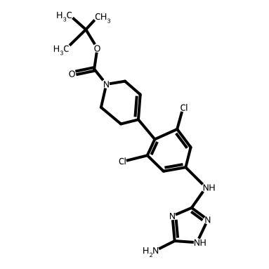 CC(C)(C)OC(=O)N1CC=C(c2c(Cl)cc(Nc3n[nH]c(N)n3)cc2Cl)CC1